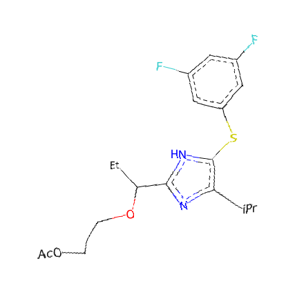 CCC(OCCOC(C)=O)c1nc(C(C)C)c(Sc2cc(F)cc(F)c2)[nH]1